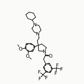 COc1ccc(C2(CCN3CCN(C4CCCCC4)CC3)CCN(C(=O)Cc3cc(C(F)(F)F)cc(C(F)(F)F)c3)C2)cc1OC